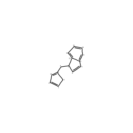 C1=CCC(CC2C=Cc3ccccc32)=C1